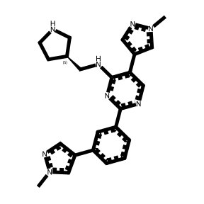 Cn1cc(-c2cccc(-c3ncc(-c4cnn(C)c4)c(NC[C@H]4CCNC4)n3)c2)cn1